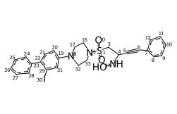 O=S(=O)(CC(C#Cc1ccccc1)NO)N1CCN(c2ccc(-c3ccccc3)c(I)c2)CC1